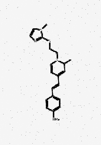 CNc1ccc(/C=C/C2=CC(C)N(CCSc3nccn3C)C=C2)cc1